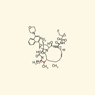 CCC(C)N(C(=O)O)[C@@H]1C(=O)N2[C@@H](C[C@@](C)(Oc3ncc(N4CCOCC4)c4ccccc34)C2(F)F)C(=O)N[C@]2(C(=O)NS(=O)(=O)C3(CF)CC3)C[C@H]2/C=C\CC[C@H](C)C[C@H]1CC